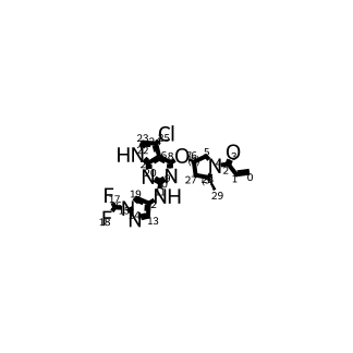 C=CC(=O)N1C[C@H](Oc2nc(Nc3cnn(C(F)F)c3)nc3[nH]cc(Cl)c23)C[C@@H]1C